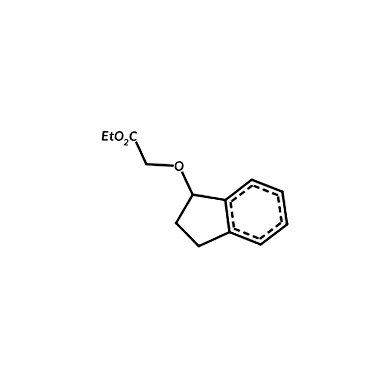 CCOC(=O)COC1CCc2ccccc21